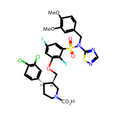 COc1ccc(CN(c2ncns2)S(=O)(=O)c2cc(F)cc(OC[C@H]3CN(C(=O)O)CC[C@@H]3c3ccc(Cl)c(Cl)c3)c2F)cc1OC